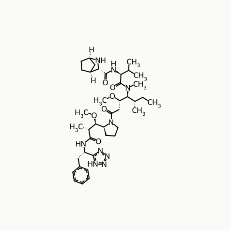 CC[C@H](C)[C@@H]([C@H](CC(=O)N1CCC[C@H]1[C@H](OC)[C@@H](C)C(=O)N[C@@H](Cc1ccccc1)c1nnn[nH]1)OC)N(C)C(=O)[C@@H](NC(=O)[C@H]1N[C@@H]2CC[C@H]1C2)C(C)C